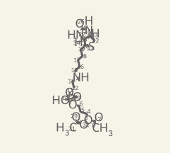 CC(=O)OCC(COP(=O)(O)OCCNCCCCCC1SC[C@@H]2NC(=O)N[C@H]12)OC(C)=O